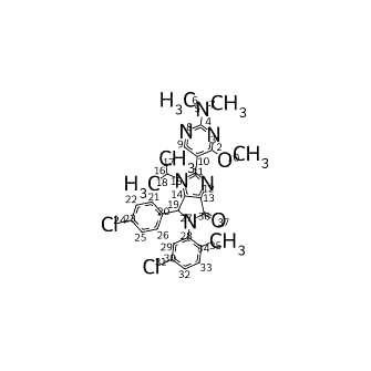 COc1nc(N(C)C)ncc1-c1nc2c(n1C(C)C)C(c1ccc(Cl)cc1)N(c1cc(Cl)ccc1C)C2=O